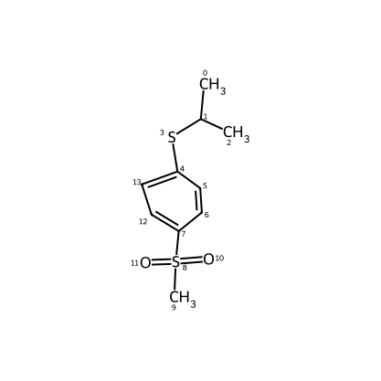 CC(C)Sc1ccc(S(C)(=O)=O)cc1